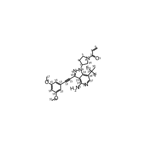 C=CC(=O)N1CCC(n2nc(C#Cc3cc(OC)cc(OC)c3)c3c(N)ncc(C(C)(F)F)c32)C1